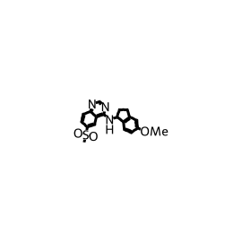 COc1ccc2c(c1)CCC2Nc1ncnc2ccc(S(C)(=O)=O)cc12